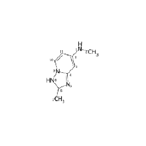 CNC1=CC2=NC(C)NN2C=C1